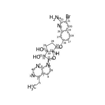 CCc1ncnc2c1ccn2[C@@H]1O[C@@H]2[C@@H](Oc3ccc4cc(Br)c(N)nc4c3)CC[C@]2(O)[C@H]1O